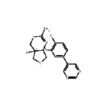 NC1=N[C@]2(c3cc(-c4cncnc4)ccc3F)COC[C@@H]2CS1